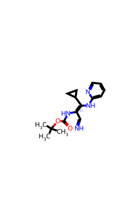 CC(C)(C)OC(=O)N/C(C=N)=C(/Nc1ccccn1)C1CC1